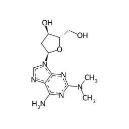 CN(C)c1nc(N)c2ncn([C@H]3C[C@@H](O)[C@H](CO)O3)c2n1